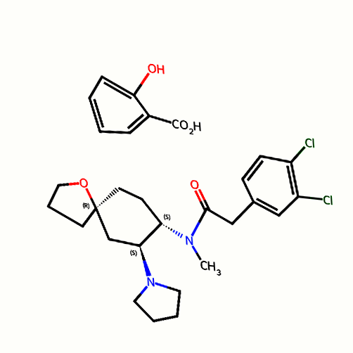 CN(C(=O)Cc1ccc(Cl)c(Cl)c1)[C@H]1CC[C@@]2(CCCO2)C[C@@H]1N1CCCC1.O=C(O)c1ccccc1O